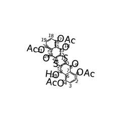 CC(=O)Oc1ccc(OC(C)=O)c2c1C(=O)c1sc3c(=O)c4c(OC(C)=O)ccc(OC(C)=O)c4c(=O)c=3sc1C2O